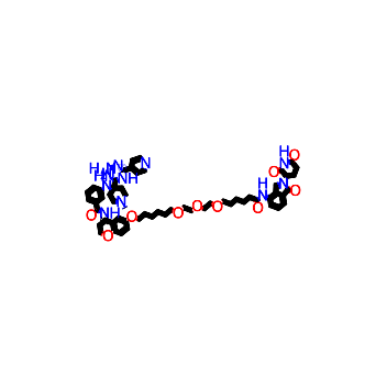 CN1CCC(Nc2cccc(C(=O)N[C@H]3CCOc4ccc(OCCCCCCOCCOCCOCCCCCC(=O)Nc5cccc6c5CN(C5CCC(=O)NC5=O)C6=O)cc43)c2)(C(=N)N/C(=N\N)c2ccncc2)CC1